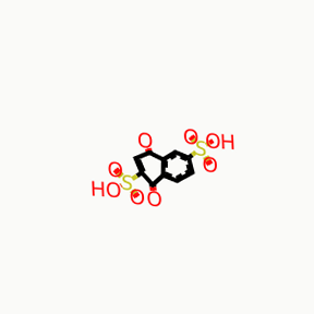 O=C1C=C(S(=O)(=O)O)C(=O)c2ccc(S(=O)(=O)O)cc21